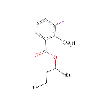 CCCCC(CCC(C)C)OC(=O)c1cccc(I)c1C(=O)O